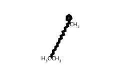 C=C(CCCCCCCCCCCCCCCCCC(C)C)c1ccccc1